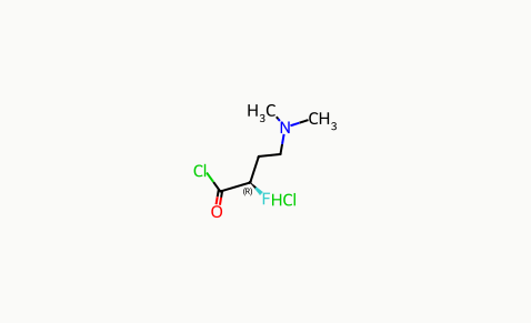 CN(C)CC[C@@H](F)C(=O)Cl.Cl